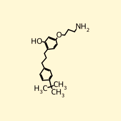 CC(C)(C)c1ccc(CCCc2ccc(OCCCN)cc2O)cc1